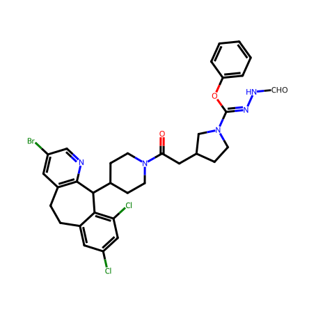 O=CNN=C(Oc1ccccc1)N1CCC(CC(=O)N2CCC(C3c4ncc(Br)cc4CCc4cc(Cl)cc(Cl)c43)CC2)C1